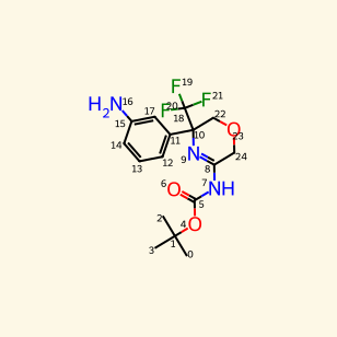 CC(C)(C)OC(=O)NC1=NC(c2cccc(N)c2)(C(F)(F)F)COC1